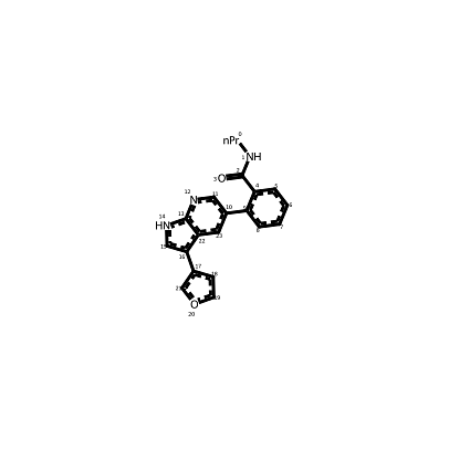 CCCNC(=O)c1ccccc1-c1cnc2[nH]cc(-c3ccoc3)c2c1